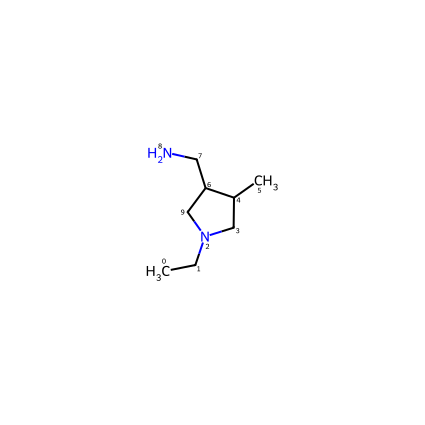 CCN1CC(C)C(CN)C1